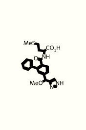 COC(c1ccc(C(=O)NC(CCSC)C(=O)O)c(-c2ccccc2)c1)c1c[nH]cn1